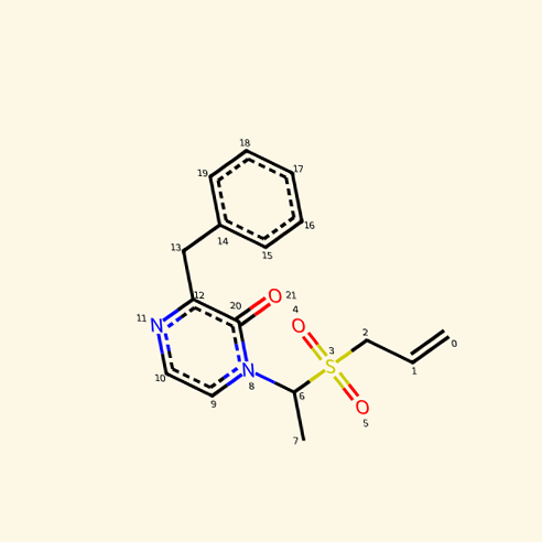 C=CCS(=O)(=O)C(C)n1ccnc(Cc2ccccc2)c1=O